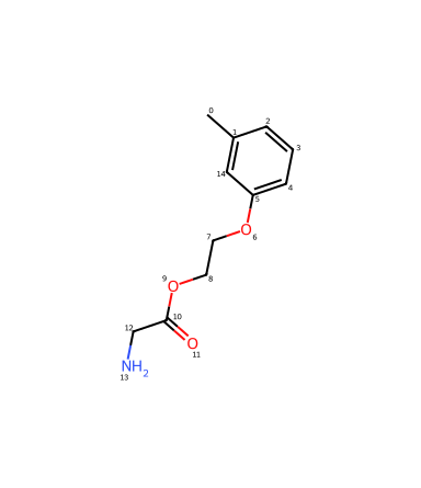 Cc1cccc(OCCOC(=O)CN)c1